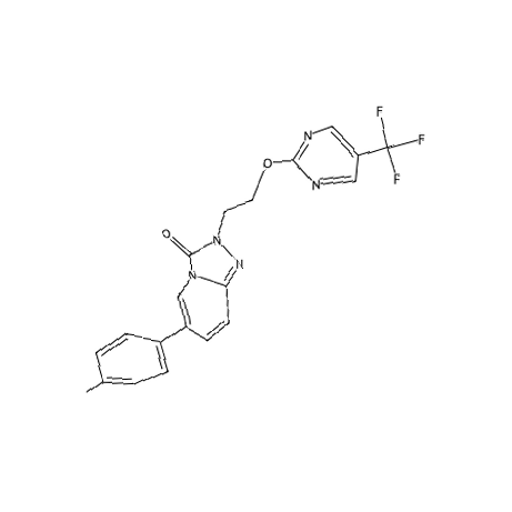 Cc1ccc(-c2ccc3nn(CCOc4ncc(C(F)(F)F)cn4)c(=O)n3c2)cc1